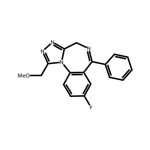 COCc1nnc2n1-c1ccc(F)cc1C(c1ccccc1)=NC2